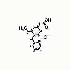 CCC1CC(CC(=O)O)CCN1Cc1ccccc1.Cl